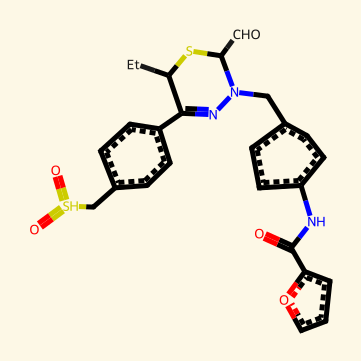 CCC1SC(C=O)N(Cc2ccc(NC(=O)c3ccco3)cc2)N=C1c1ccc(C[SH](=O)=O)cc1